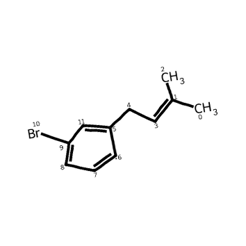 CC(C)=CCc1[c]ccc(Br)c1